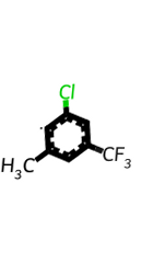 Cc1[c]c(Cl)cc(C(F)(F)F)c1